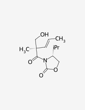 C/C=C/[C@](C)(CO)C(=O)N1C(=O)OC[C@H]1C(C)C